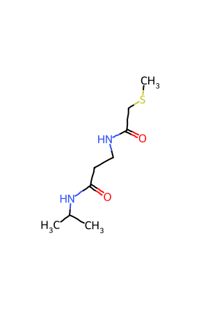 CSCC(=O)NCCC(=O)NC(C)C